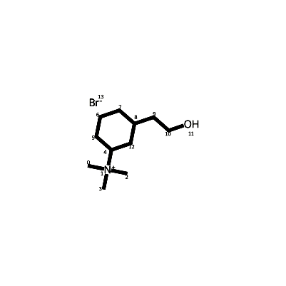 C[N+](C)(C)C1CCCC(CCO)C1.[Br-]